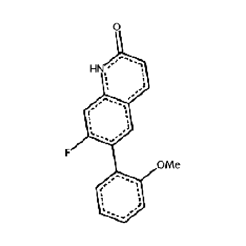 COc1ccccc1-c1cc2ccc(=O)[nH]c2cc1F